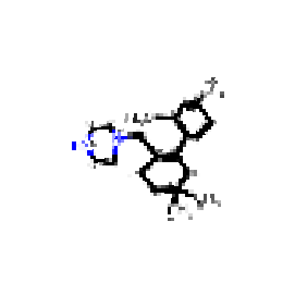 Cc1cc(C(F)(F)F)ccc1C1=C(CN2CCNCC2)CCC(C)(C)C1